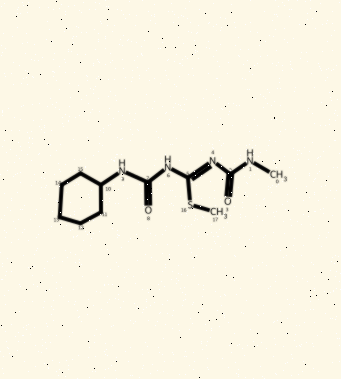 CNC(=O)N=C(NC(=O)NC1CCCCC1)SC